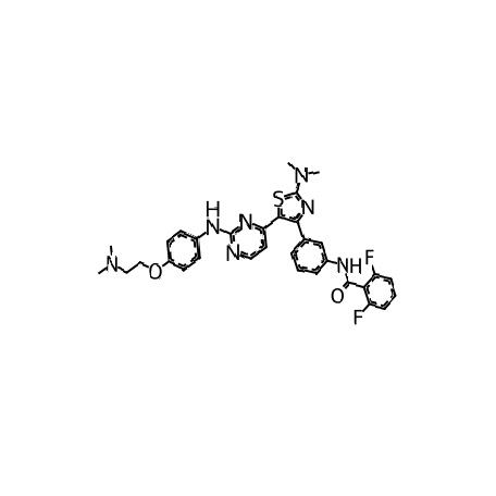 CN(C)CCOc1ccc(Nc2nccc(-c3sc(N(C)C)nc3-c3cccc(NC(=O)c4c(F)cccc4F)c3)n2)cc1